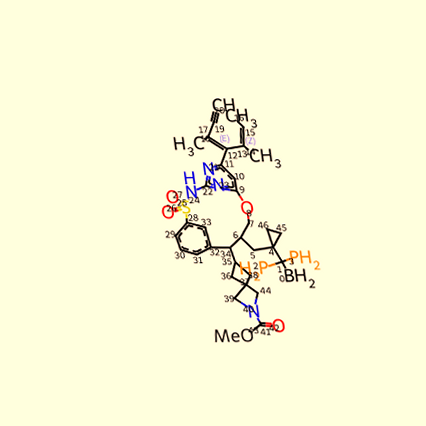 BC(P)(P)C1(CC2COc3cc(C(/C(C)=C\C)=C(\C)C#C)nc(n3)NS(=O)(=O)c3cccc(c3)C2C2CC3(C2)CN(C(=O)OC)C3)CC1